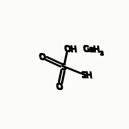 O=S(=O)(O)S.[GaH3]